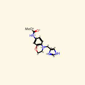 COC(=O)Nc1ccc2c(c1)OCCN2Cc1c[nH]cn1